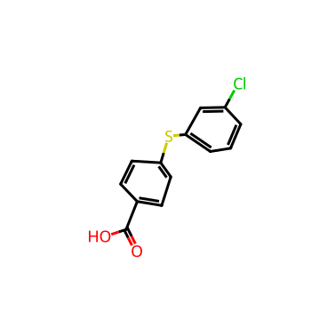 O=C(O)c1ccc(Sc2cccc(Cl)c2)cc1